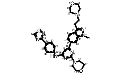 Cn1nc(CCN2CCOCC2)c2ccc(-c3cc(Nc4ccc(-c5ncon5)cc4)nc(N4CCOCC4)n3)cc21